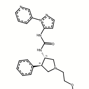 COCCN1C[C@@H](NC(=O)Nc2ccnn2-c2cccnc2)[C@H](c2ccccc2)C1